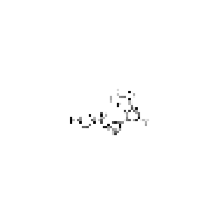 O=C(Cn1cc(-c2cc(C(F)F)nc(N3CC[C@@H]3C(F)(F)F)n2)cn1)N1CCNCC1